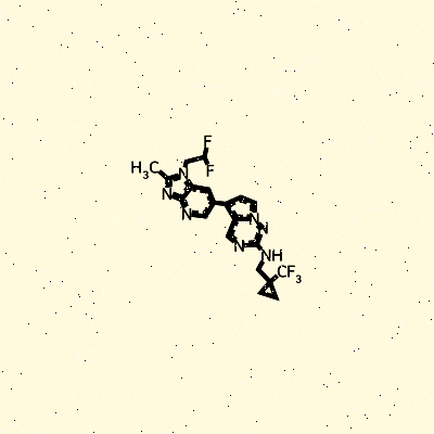 Cc1nc2ncc(-c3ccn4nc(NCC5(C(F)(F)F)CC5)ncc34)cc2n1CC(F)F